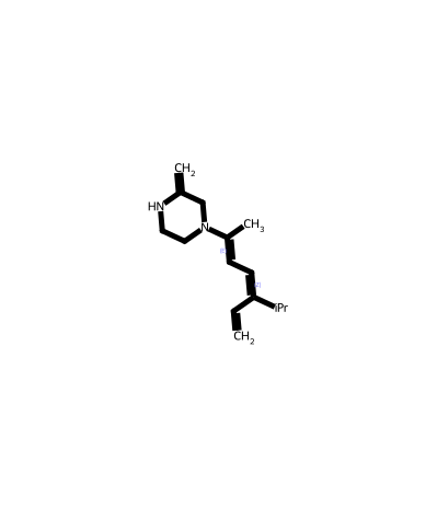 C=C/C(=C\C=C(/C)N1CCNC(=C)C1)C(C)C